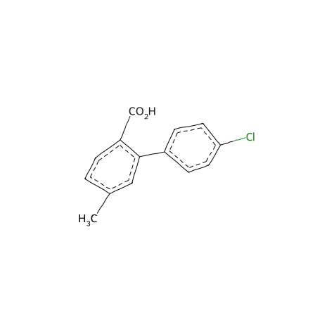 Cc1ccc(C(=O)O)c(-c2ccc(Cl)cc2)c1